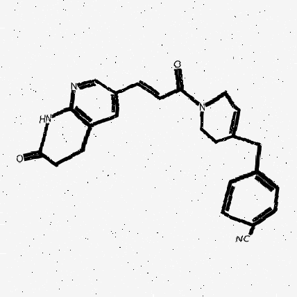 N#Cc1ccc(CC2=CCN(C(=O)C=Cc3cnc4c(c3)CCC(=O)N4)CC2)cc1